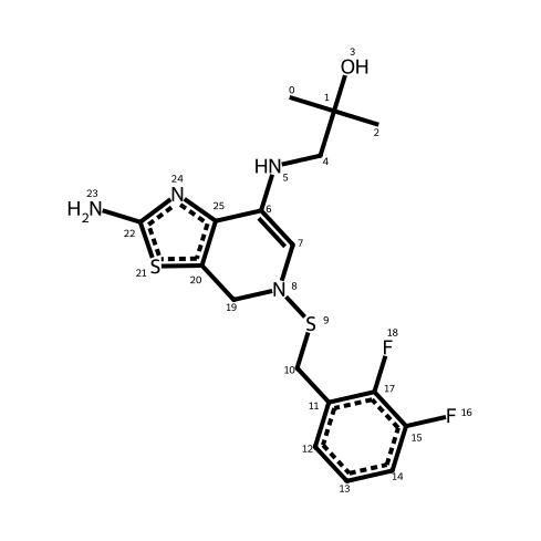 CC(C)(O)CNC1=CN(SCc2cccc(F)c2F)Cc2sc(N)nc21